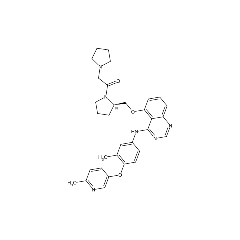 Cc1ccc(Oc2ccc(Nc3ncnc4cccc(OC[C@H]5CCCN5C(=O)CN5CCCC5)c34)cc2C)cn1